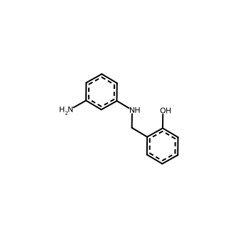 Nc1cccc(NCc2ccccc2O)c1